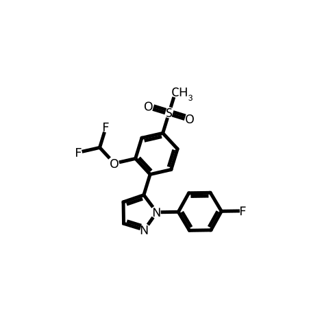 CS(=O)(=O)c1ccc(-c2ccnn2-c2ccc(F)cc2)c(OC(F)F)c1